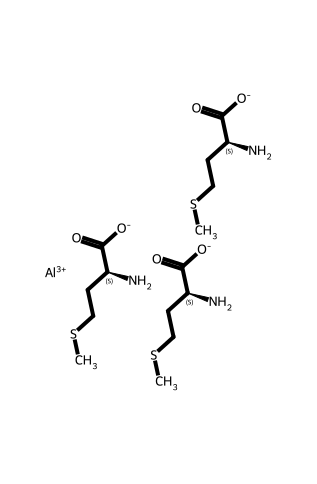 CSCC[C@H](N)C(=O)[O-].CSCC[C@H](N)C(=O)[O-].CSCC[C@H](N)C(=O)[O-].[Al+3]